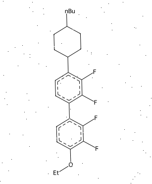 CCCCC1CCC(c2ccc(-c3ccc(OCC)c(F)c3F)c(F)c2F)CC1